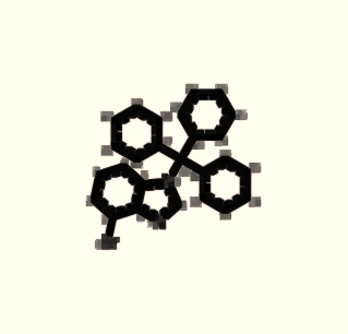 Brc1cccc2c1ncn2C(c1ccccc1)(c1ccccc1)c1ccccc1